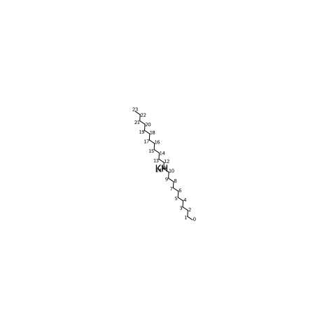 CCCCCCCCCCCCCCCCCCCCCCCC.[KH]